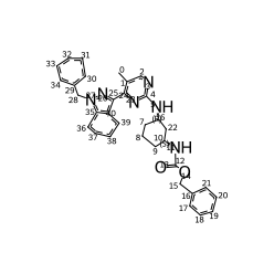 Cc1cnc(N[C@@H]2CCC[C@H](NC(=O)OCc3ccccc3)C2)nc1-c1nn(Cc2ccccc2)c2ccccc12